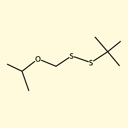 CC(C)OCSSC(C)(C)C